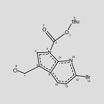 CC(C)(C)OC(=O)n1cc(CCl)c2ccc(Br)nc21